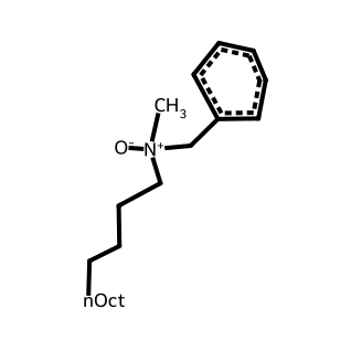 CCCCCCCCCCCC[N+](C)([O-])Cc1ccccc1